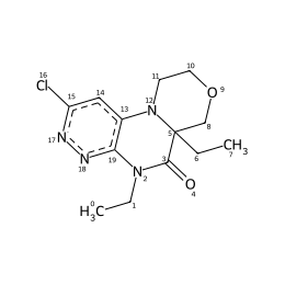 CCN1C(=O)C2(CC)COCCN2c2cc(Cl)nnc21